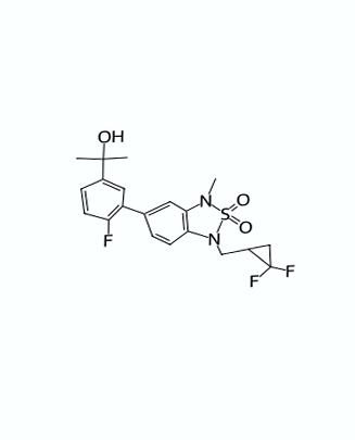 CN1c2cc(-c3cc(C(C)(C)O)ccc3F)ccc2N(CC2CC2(F)F)S1(=O)=O